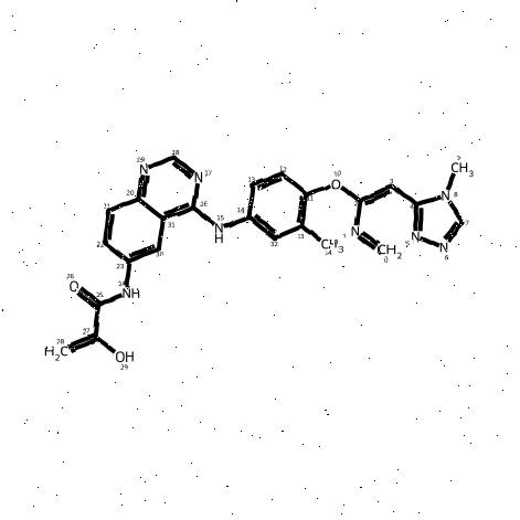 C=N/C(=C\c1nncn1C)Oc1ccc(Nc2ncnc3ccc(NC(=O)C(=C)O)cc23)cc1C